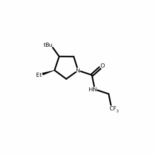 CC[C@@H]1CN(C(=O)NCC(F)(F)F)CC1C(C)(C)C